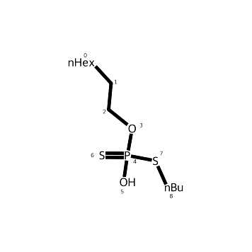 CCCCCCCCOP(O)(=S)SCCCC